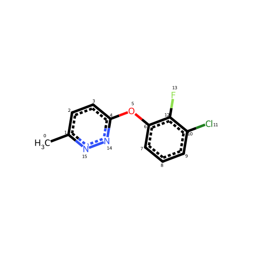 Cc1ccc(Oc2cccc(Cl)c2F)nn1